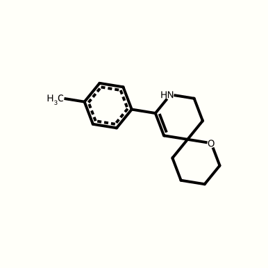 Cc1ccc(C2=CC3(CCCCO3)CCN2)cc1